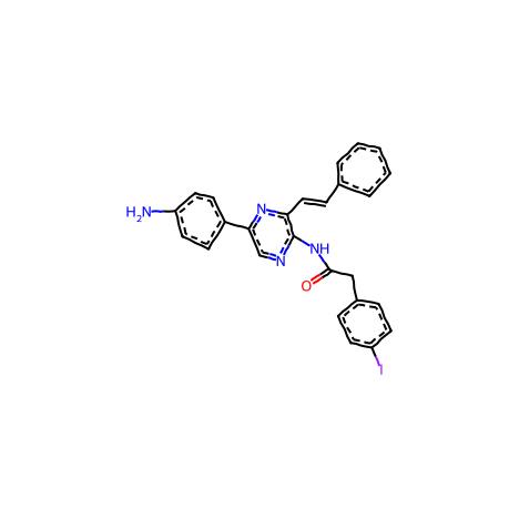 Nc1ccc(-c2cnc(NC(=O)Cc3ccc(I)cc3)c(/C=C/c3ccccc3)n2)cc1